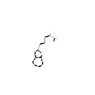 CO/C(=C/C=C/c1cc2ccccc2[nH]1)C(=O)O